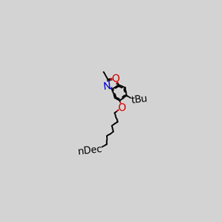 CCCCCCCCCCCCCCCCOc1cc2nc(C)oc2cc1C(C)(C)C